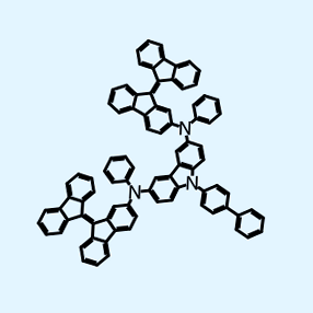 c1ccc(-c2ccc(-n3c4ccc(N(c5ccccc5)c5ccc6c(c5)C(=C5c7ccccc7-c7ccccc75)c5ccccc5-6)cc4c4cc(N(c5ccccc5)c5ccc6c(c5)C(=C5c7ccccc7-c7ccccc75)c5ccccc5-6)ccc43)cc2)cc1